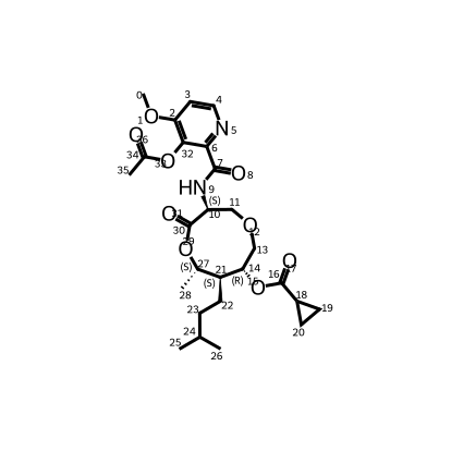 COc1ccnc(C(=O)N[C@H]2COC[C@H](OC(=O)C3CC3)[C@@H](CCC(C)C)[C@H](C)OC2=O)c1OC(C)=O